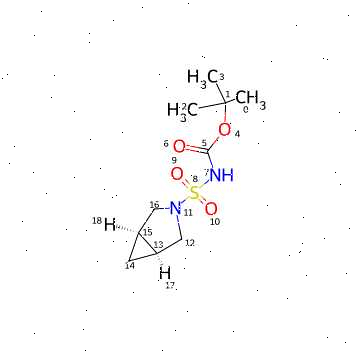 CC(C)(C)OC(=O)NS(=O)(=O)N1C[C@H]2C[C@H]2C1